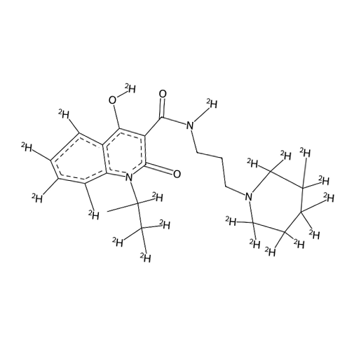 [2H]Oc1c(C(=O)N([2H])CCCN2C([2H])([2H])C([2H])([2H])C([2H])([2H])C([2H])([2H])C2([2H])[2H])c(=O)n(C([2H])(C)C([2H])([2H])[2H])c2c([2H])c([2H])c([2H])c([2H])c12